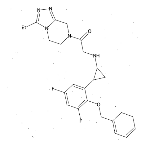 CCc1nnc2n1CCN(C(=O)CNC1CC1c1cc(F)cc(F)c1OCC1=CC=CCC1)C2